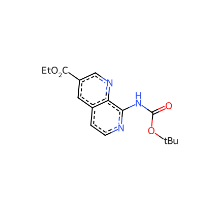 CCOC(=O)c1cnc2c(NC(=O)OC(C)(C)C)nccc2c1